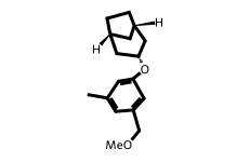 COCc1cc(C)cc(O[C@@H]2C[C@@H]3CC[C@@H](C3)C2)c1